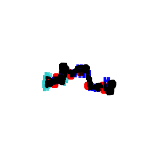 CN(CCN1CCC(OC(=O)Nc2ccccc2-c2ccccc2)CC1)C(=O)CCCCCNCc1cccc(C(=O)N(C)CCCN(C)C(=O)CO[C@H]2Cc3ccccc3C23CCN(CC[C@@]2(c4ccc(F)cc4)CN(C(=O)c4cc(C(F)(F)F)cc(C(F)(F)F)c4)CO2)CC3)c1